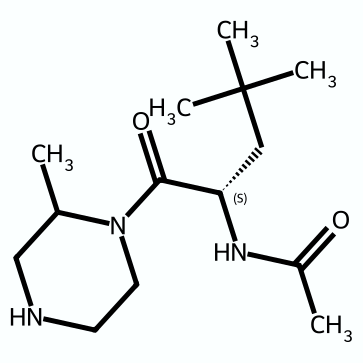 CC(=O)N[C@@H](CC(C)(C)C)C(=O)N1CCNCC1C